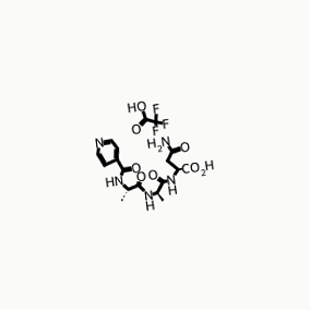 C[C@H](NC(=O)c1ccncc1)C(=O)N[C@H](C)C(=O)N[C@@H](CC(N)=O)C(=O)O.O=C(O)C(F)(F)F